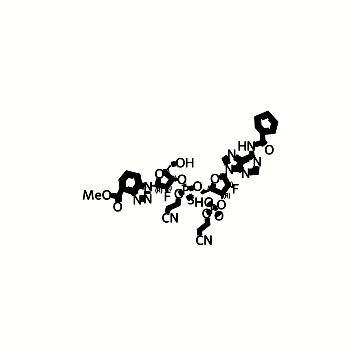 COC(=O)c1cccc2c1nnn2[C@@H]1O[C@H](CO)[C@@H](OP(=S)(OCCC#N)OC[C@H]2O[C@@H](n3cnc4c(NC(=O)c5ccccc5)ncnc43)[C@H](F)[C@@H]2OP(=O)(O)OCCC#N)[C@H]1F